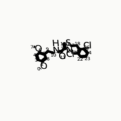 COc1ccc(OC)c(CCNC(=O)c2csc(Cc3c(Cl)cccc3Cl)n2)c1